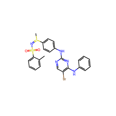 Cc1ccccc1S(=O)(=O)N=S(C)c1ccc(Nc2ncc(Br)c(Nc3ccccc3)n2)cc1